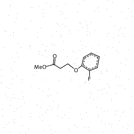 COC(=O)CCOc1ccccc1F